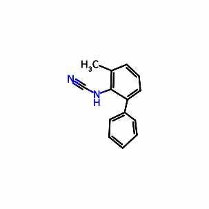 Cc1cccc(-c2ccccc2)c1NC#N